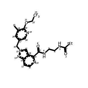 CCC(=O)NCCNC(=O)c1nccc2nn(Cc3cnc(OCC(F)(F)F)c(C)c3)cc12